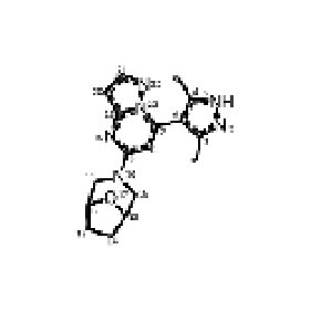 Cc1n[nH]c(C)c1-c1cc(N2CC3CCC(C2)O3)nc2ccnn12